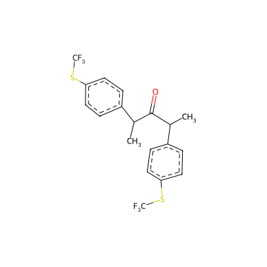 CC(C(=O)C(C)c1ccc(SC(F)(F)F)cc1)c1ccc(SC(F)(F)F)cc1